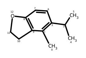 Cc1c(C(C)C)ccc2c1CCO2